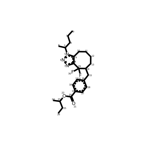 CCCC(C)n1nnc2c1CCCCC(Cc1ccc(C(=O)OC(C)CC)cc1)C2(F)F